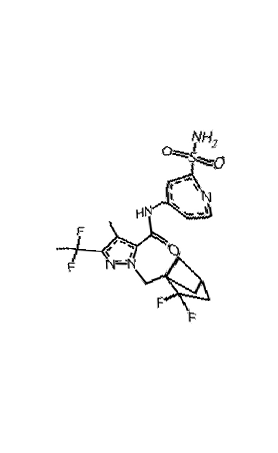 Cc1c(C(C)(F)F)nn(CC23CC(CC2(F)F)C3)c1C(=O)Nc1ccnc(S(N)(=O)=O)c1